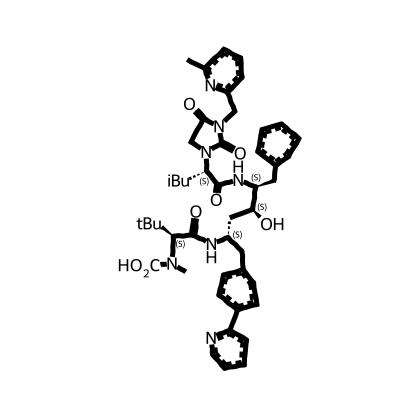 CCC(C)[C@@H](C(=O)N[C@@H](Cc1ccccc1)[C@@H](O)C[C@H](Cc1ccc(-c2ccccn2)cc1)NC(=O)[C@@H](N(C)C(=O)O)C(C)(C)C)N1CC(=O)N(Cc2cccc(C)n2)C1=O